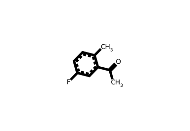 CC(=O)c1cc(F)ccc1C